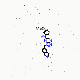 COc1cncc(Nc2cnc3nnn(Cc4ccc5cnccc5c4)c3n2)c1